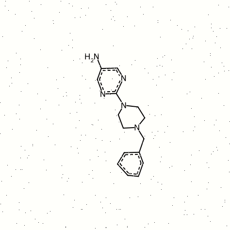 Nc1cnc(N2CCN(Cc3ccccc3)CC2)nc1